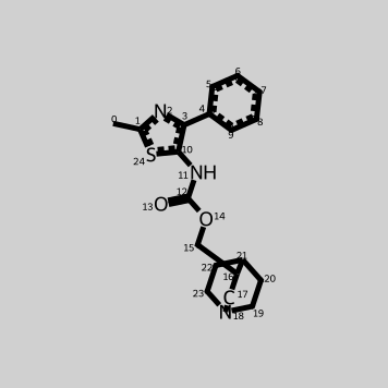 Cc1nc(-c2ccccc2)c(NC(=O)OCC2CN3CCC2CC3)s1